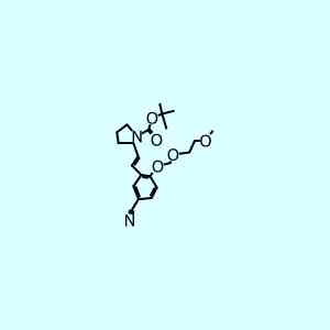 COCCOCOc1ccc(C#N)cc1C=CC1CCCN1C(=O)OC(C)(C)C